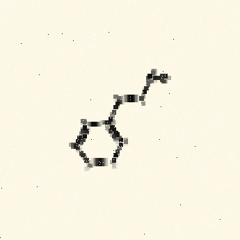 O=[C]/C=C/c1ccccc1